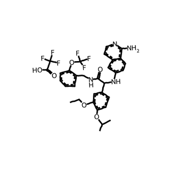 CCOc1cc(C(Nc2ccc3c(N)nccc3c2)C(=O)NCc2ccccc2OC(F)(F)F)ccc1OC(C)C.O=C(O)C(F)(F)F